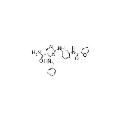 NC(=O)c1cnc(Nc2cccc(NC(=O)[C@@H]3CCCO3)c2)nc1NCc1ccccc1